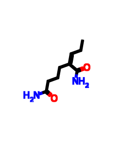 CCC=C(CCCC(N)=O)C(N)=O